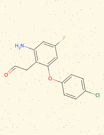 Nc1cc(F)cc(Oc2ccc(Cl)cc2)c1CC=O